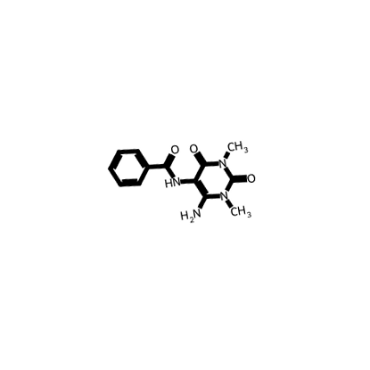 Cn1c(N)c(NC(=O)c2ccccc2)c(=O)n(C)c1=O